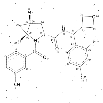 N#Cc1cccc(C(=O)N2[C@@H](C(=O)N[C@@H](c3ccc(C(F)(F)F)cc3F)C3COC3)C[C@H]3C[C@H]32)c1